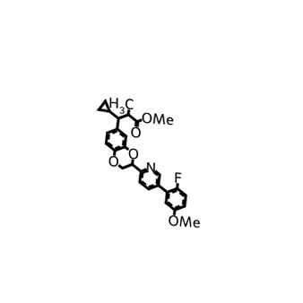 COC(=O)C(C)C(c1ccc2c(c1)OC(c1ccc(-c3cc(OC)ccc3F)cn1)CO2)C1CC1